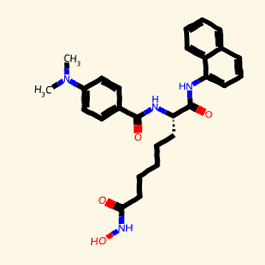 CN(C)c1ccc(C(=O)N[C@@H](CCCCCC(=O)NO)C(=O)Nc2cccc3ccccc23)cc1